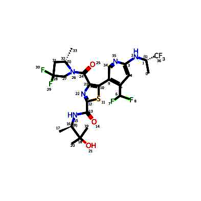 C[C@H](Nc1cc(C(F)F)c(-c2sc(C(=O)N[C@H](C)C(C)(C)O)nc2C(=O)N2CC(F)(F)C[C@@H]2C)cn1)C(F)(F)F